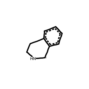 [C]1NCCc2ccccc21